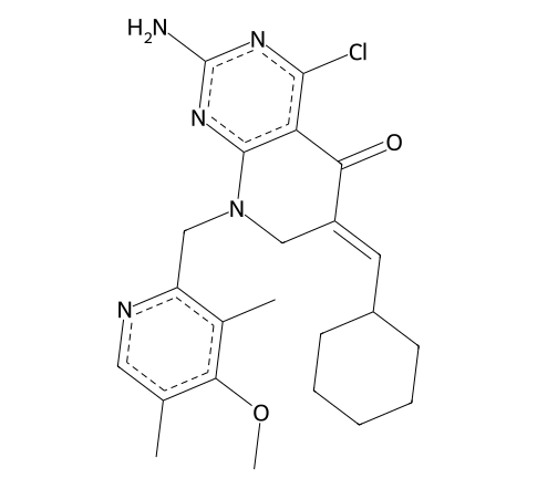 COc1c(C)cnc(CN2C/C(=C\C3CCCCC3)C(=O)c3c(Cl)nc(N)nc32)c1C